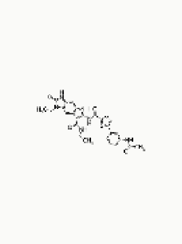 CCNC(=O)c1c(NC(=O)c2ccc(-c3cccc(NC(C)=O)c3)s2)[nH]c2cc3[nH]c(=O)n(CC)c3cc12